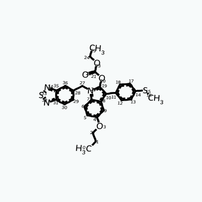 CCCOc1ccc2c(c1)c(-c1ccc(SC)cc1)c(OC(=O)OCC)n2Cc1ccc2nsnc2c1